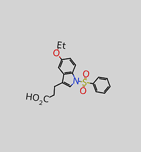 CCOc1ccc2c(c1)c(CCC(=O)O)cn2S(=O)(=O)c1ccccc1